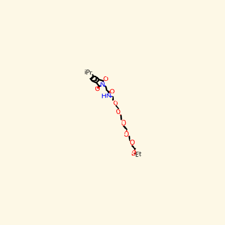 CCOCCOCCOCCOCCOCCOCCNC(=O)CCN1C(=O)C2C3C=C(C(C)C)C(C3)C2C1=O